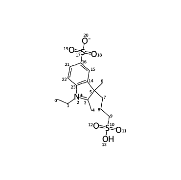 CC[N+]1=C(C)C(C)(CCCS(=O)(=O)O)c2cc(S(=O)(=O)[O-])ccc21